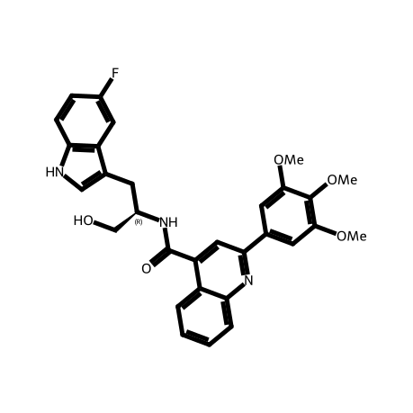 COc1cc(-c2cc(C(=O)N[C@@H](CO)Cc3c[nH]c4ccc(F)cc34)c3ccccc3n2)cc(OC)c1OC